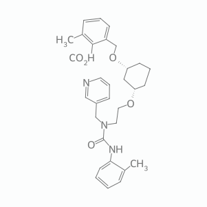 Cc1ccccc1NC(=O)N(CCO[C@H]1CCC[C@@H](OCc2cccc(C)c2C(=O)O)C1)Cc1cccnc1